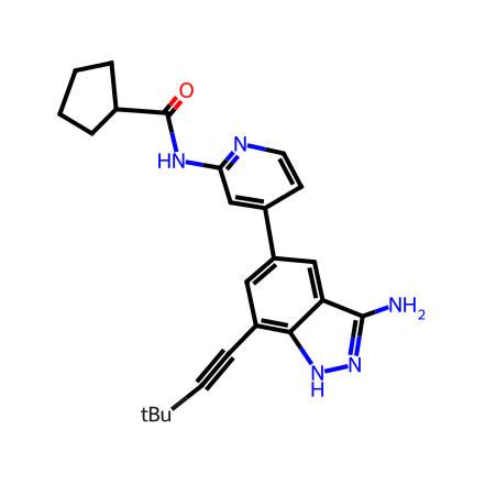 CC(C)(C)C#Cc1cc(-c2ccnc(NC(=O)C3CCCC3)c2)cc2c(N)n[nH]c12